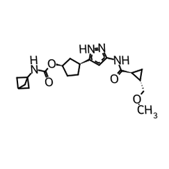 COC[C@H]1C[C@@H]1C(=O)Nc1cc([C@H]2CC[C@@H](OC(=O)NC34CC(C3)C4)C2)[nH]n1